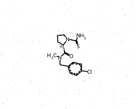 CN(Cc1ccc(Cl)cc1)C(=O)[C@H]1CCCN1C(N)=S